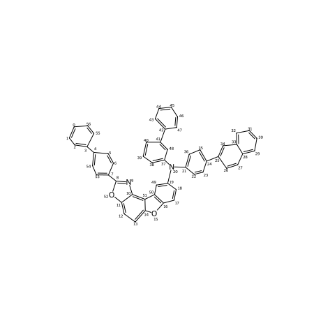 c1ccc(-c2ccc(-c3nc4c(ccc5oc6ccc(N(c7ccc(-c8ccc9ccccc9c8)cc7)c7cccc(-c8ccccc8)c7)cc6c54)o3)cc2)cc1